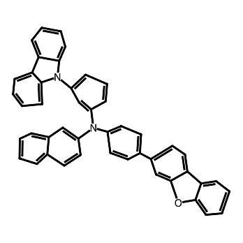 c1cc(N(c2ccc(-c3ccc4c(c3)oc3ccccc34)cc2)c2ccc3ccccc3c2)cc(-n2c3ccccc3c3ccccc32)c1